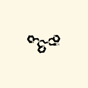 C#CCN(CCN(Cc1ccccn1)Cc1ccccn1)Cc1ccccn1